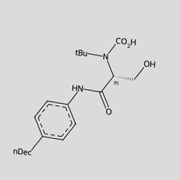 CCCCCCCCCCc1ccc(NC(=O)[C@@H](CO)N(C(=O)O)C(C)(C)C)cc1